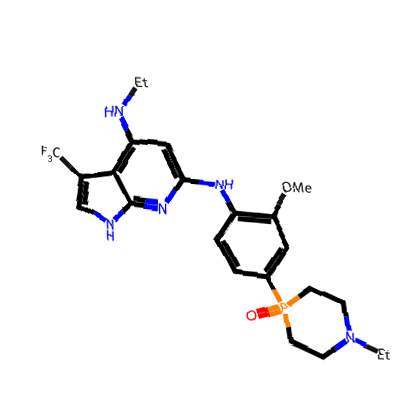 CCNc1cc(Nc2ccc(P3(=O)CCN(CC)CC3)cc2OC)nc2[nH]cc(C(F)(F)F)c12